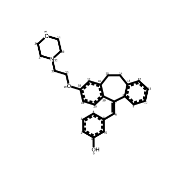 Oc1cccc(C=C2c3ccccc3CCc3cc(OCCN4CCOCC4)ccc32)c1